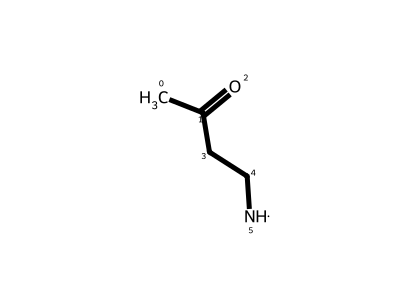 CC(=O)CC[NH]